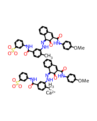 COc1ccc(NC(=O)C2=Cc3ccccc3/C(=N/Nc3cc(C(=O)Nc4cccc(S(=O)(=O)[O-])c4)ccc3C)C2=O)cc1.COc1ccc(NC(=O)C2=Cc3ccccc3/C(=N/Nc3cc(C(=O)Nc4cccc(S(=O)(=O)[O-])c4)ccc3C)C2=O)cc1.[Ca+2]